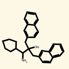 NC(C1CCCCC1)C(O)(Cc1ccc2ccccc2c1)Cc1ccc2ccccc2c1